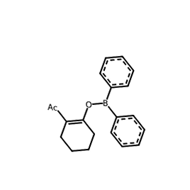 CC(=O)C1=C(OB(c2ccccc2)c2ccccc2)CCCC1